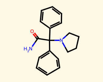 NC(=O)C(c1ccccc1)(c1ccccc1)N1CCCC1